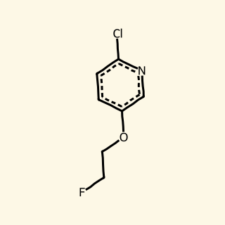 FCCOc1ccc(Cl)nc1